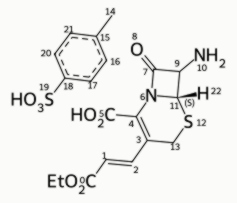 CCOC(=O)C=CC1=C(C(=O)O)N2C(=O)C(N)[C@@H]2SC1.Cc1ccc(S(=O)(=O)O)cc1